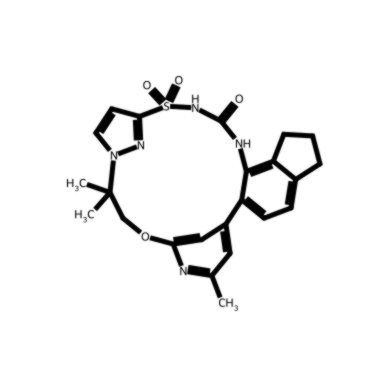 Cc1cc2cc(n1)OCC(C)(C)n1ccc(n1)S(=O)(=O)NC(=O)Nc1c-2ccc2c1CCC2